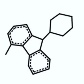 Cc1cccc2c1-c1ccccc1C2C1CCCCC1